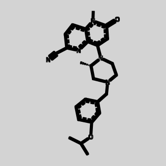 CC(C)Oc1cccc(CN2CCN(c3cc(=O)n(C)c4ccc(C#N)nc34)[C@@H](C)C2)c1